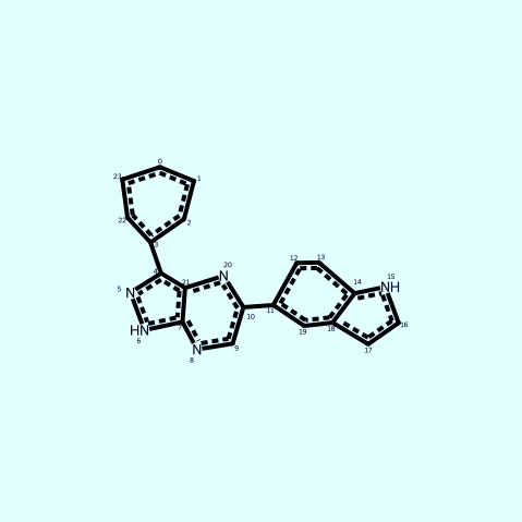 c1ccc(-c2n[nH]c3ncc(-c4ccc5[nH]ccc5c4)nc23)cc1